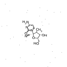 CC1[C@H](O)[C@@H](CO)O[C@@]1(C#N)n1ccc(N)nc1=O